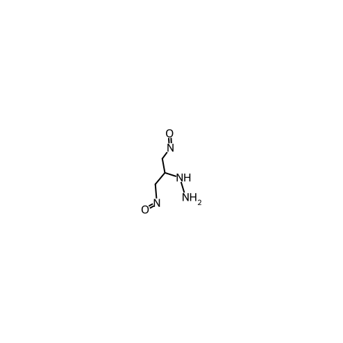 NNC(CN=O)CN=O